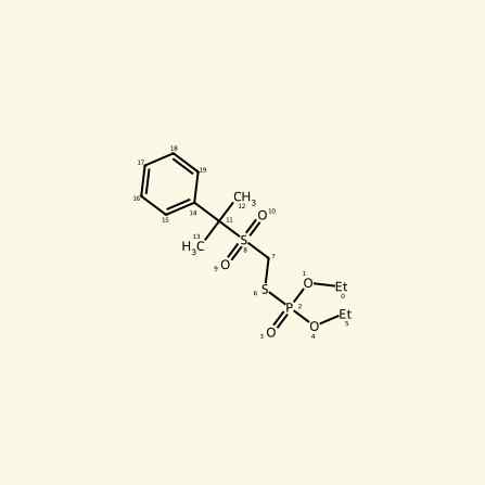 CCOP(=O)(OCC)SCS(=O)(=O)C(C)(C)c1ccccc1